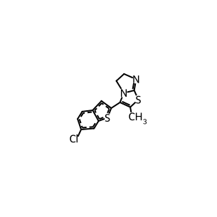 CC1=C(c2cc3ccc(Cl)cc3s2)N2CCN=C2S1